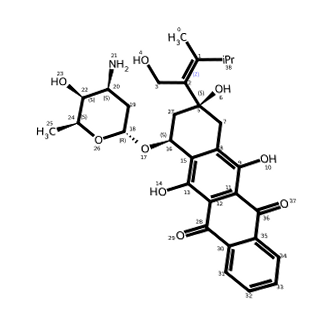 C/C(=C(\CO)[C@]1(O)Cc2c(O)c3c(c(O)c2[C@@H](O[C@H]2C[C@H](N)[C@H](O)[C@H](C)O2)C1)C(=O)c1ccccc1C3=O)C(C)C